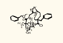 CC(C)(N)C(=O)N[C@H](COCc1ccccc1)c1nnc2n1CC(Cc1ccccc1)(C(=O)NCCCCO)CC2